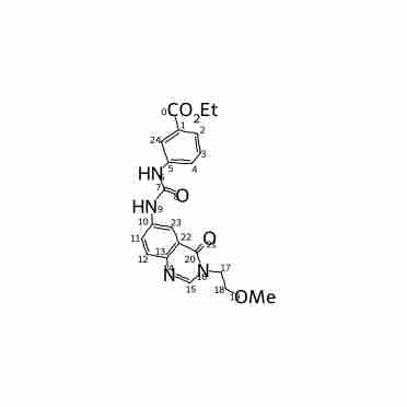 CCOC(=O)c1cccc(NC(=O)Nc2ccc3ncn(CCOC)c(=O)c3c2)c1